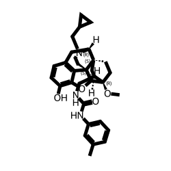 CO[C@]12CC[C@@]3(C[C@@H]1CNC(=O)Nc1cccc(C)c1)[C@H]1Cc4ccc(O)c5c4[C@@]3(CCN1CC1CC1)[C@H]2O5